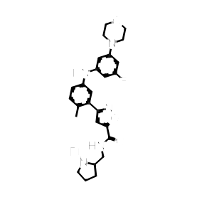 CCN1CCCC1CNC(=O)c1cc(-c2cc(Nc3cc(F)cc(N4CCOCC4)c3)ccc2C)no1